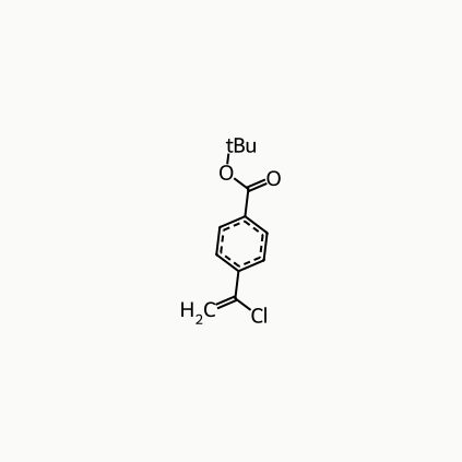 C=C(Cl)c1ccc(C(=O)OC(C)(C)C)cc1